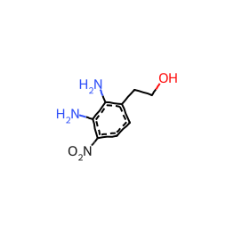 Nc1c(CCO)ccc([N+](=O)[O-])c1N